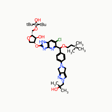 CC(C)(O)Cn1cc2c(n1)CN(c1ccc(C(OCC[Si](C)(C)C)c3nc4nc(O[C@@H]5CO[C@H](CO[Si](O)(C(C)(C)C)C(C)(C)C)[C@H]5O)[nH]c4cc3Cl)cc1)C2